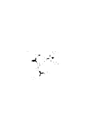 COP(=O)(SC)N(C)SN(C)C(=O)ON=C(C)SC